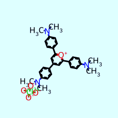 CN(C)c1ccc(-c2cc(-c3ccc(N(C)C)cc3)[o+]c(-c3ccc(N(C)C)cc3)c2)cc1.[O-][Cl+3]([O-])([O-])[O-]